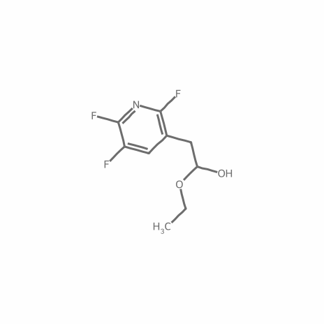 CCOC(O)Cc1cc(F)c(F)nc1F